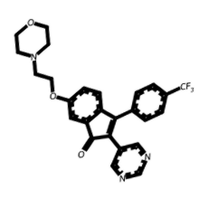 O=C1C(c2cncnc2)=C(c2ccc(C(F)(F)F)cc2)c2ccc(OCCN3CCOCC3)cc21